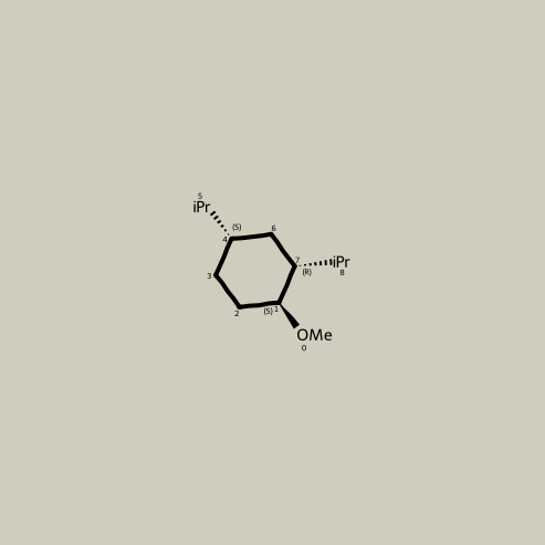 CO[C@H]1CC[C@H](C(C)C)C[C@@H]1C(C)C